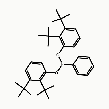 CC(C)(C)c1cccc(OP(Oc2cccc(C(C)(C)C)c2C(C)(C)C)c2ccccc2)c1C(C)(C)C